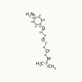 CC(C)=NCOCCOCCOc1ccc(N)cc1